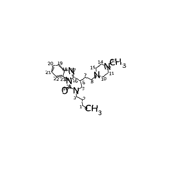 CCCCN1CC(CCN2CCN(C)CC2)c2nc3ccccc3n2C1=O